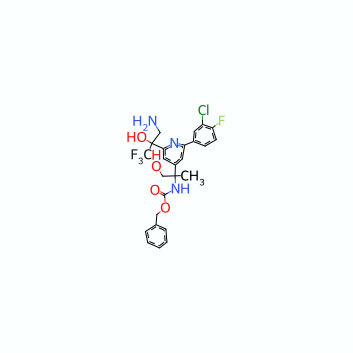 CC(CO)(NC(=O)OCc1ccccc1)c1cc(-c2ccc(F)c(Cl)c2)nc(C(O)(CN)C(F)(F)F)c1